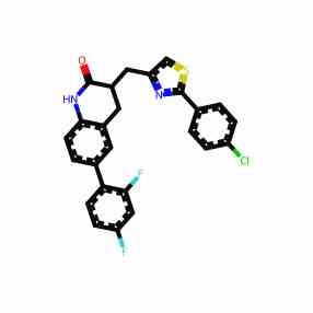 O=C1Nc2ccc(-c3ccc(F)cc3F)cc2CC1Cc1csc(-c2ccc(Cl)cc2)n1